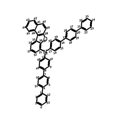 c1ccc(-c2ccc(-c3ccc(N(c4ccc(-c5ccc(-c6ccccc6)cc5)cc4)c4cccc5c4oc4ccc6ccccc6c45)cc3)cc2)cc1